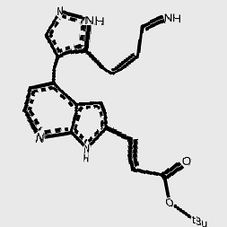 CC(C)(C)OC(=O)/C=C/c1cc2c(-c3cn[nH]c3/C=C\C=N)ccnc2[nH]1